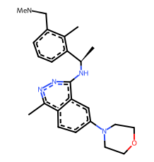 CNCc1cccc([C@@H](C)Nc2nnc(C)c3ccc(N4CCOCC4)cc23)c1C